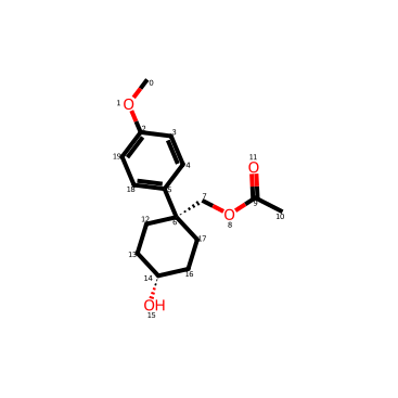 COc1ccc([C@]2(COC(C)=O)CC[C@@H](O)CC2)cc1